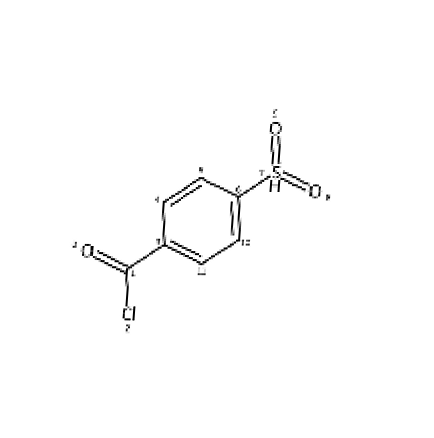 O=C(Cl)c1ccc([SH](=O)=O)cc1